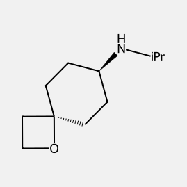 CC(C)N[C@H]1CC[C@]2(CCO2)CC1